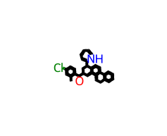 Cc1cc(Cl)ccc1C(=O)C1C=c2c(ccc3c2=CCc2ccccc2-3)C(C2=CC=CC=CN2)C1